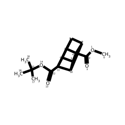 COC(=O)C12C3C4C1C1C2C3C41C(=O)OC(C)(C)C